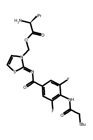 CC(C)[C@H](N)C(=O)OCn1ccs/c1=N\C(=O)c1cc(F)c(NC(=O)CC(C)(C)C)c(F)c1